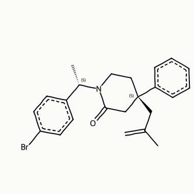 C=C(C)C[C@]1(c2ccccc2)CCN([C@@H](C)c2ccc(Br)cc2)C(=O)C1